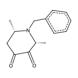 C[C@@H]1C(=O)C(=O)C[C@H](C)N1Cc1ccccc1